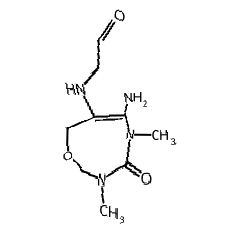 CN1COC/C(NCC=O)=C(/N)N(C)C1=O